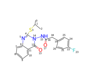 CC(C)Sc1nc2ccccc2c(=O)n1NC(=O)Cc1ccc(F)cc1